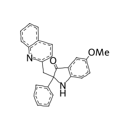 COc1ccc2c(c1)C(=O)C(Cc1ccc3ccccc3n1)(c1ccccc1)N2